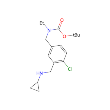 CCN(Cc1ccc(Cl)c(CNC2CC2)c1)C(=O)OC(C)(C)C